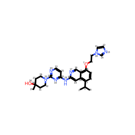 CC(C)c1ccc(OCCn2ccnc2)c2cnc(Nc3ccnc(N4CCC(C)(O)CC4)n3)cc12